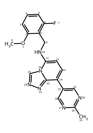 COc1cccc(F)c1CNc1ccc(-c2cnc(C)nc2)c2nncn12